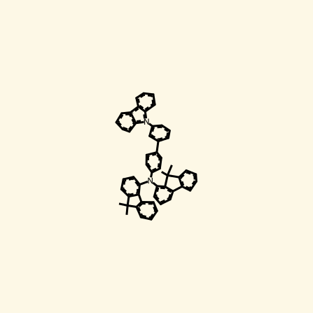 CC1(C)c2ccccc2-c2c(N(c3ccc(-c4cccc(-n5c6ccccc6c6ccccc65)c4)cc3)c3cccc4c3C(C)(C)c3ccccc3-4)cccc21